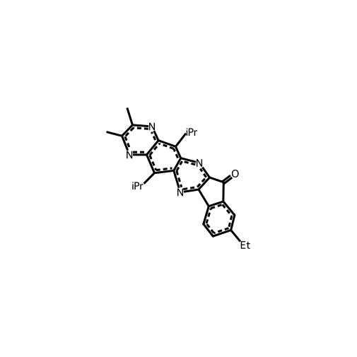 CCc1ccc2c(c1)C(=O)c1nc3c(C(C)C)c4nc(C)c(C)nc4c(C(C)C)c3nc1-2